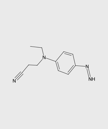 CCN(CCC#N)c1ccc(N=N)cc1